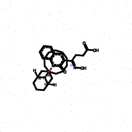 O=C(O)CC/C(=N\O)c1nc2ccccc2n([C@H]2C[C@H]3CCC[C@@H](C2)N3C2CCCCCCCCC2)c1=O